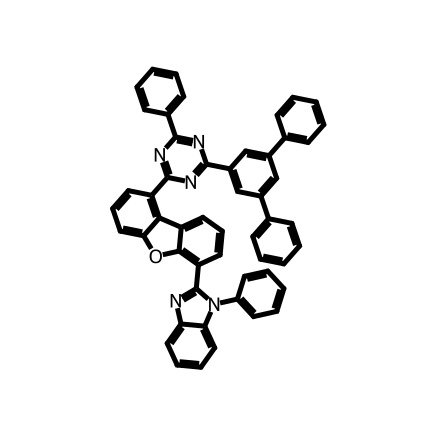 c1ccc(-c2cc(-c3ccccc3)cc(-c3nc(-c4ccccc4)nc(-c4cccc5oc6c(-c7nc8ccccc8n7-c7ccccc7)cccc6c45)n3)c2)cc1